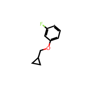 Fc1[c]ccc(OCC2CC2)c1